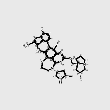 C[C@@H]1C[C@@H](N2CCOc3c(Cl)c(-c4ccc(F)c5sc(N)c(C#N)c45)c(F)c4nc(OC[C@@]56CCCN5C[C@H](F)C6)nc2c34)CN1